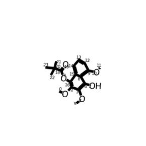 COc1c(OC)c(O)c2c(OC)cccc2c1OC(=O)C(C)(C)C